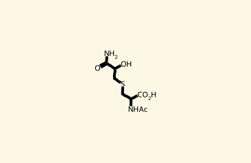 CC(=O)NC(CSCC(O)C(N)=O)C(=O)O